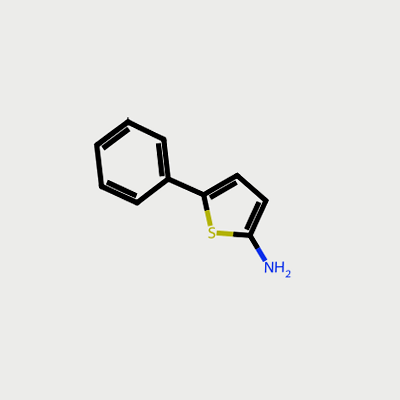 Nc1ccc(-c2c[c]ccc2)s1